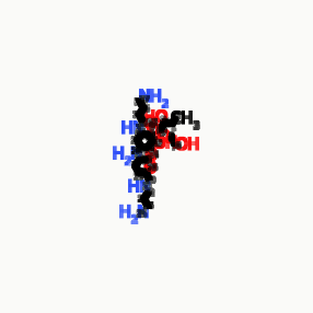 CC[C@@H](O)[C@H](OCCO)O[C@@H]1[C@@H](O)[C@H](O[C@@H]2CCC=C(CNCCCN)O2)[C@@H](N)C[C@H]1NC(=O)CCCN